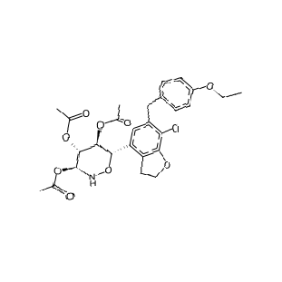 CCOc1ccc(Cc2cc([C@@H]3ON[C@@H](OC(C)=O)[C@H](OC(C)=O)[C@H]3OC(C)=O)c3c(c2Cl)OCC3)cc1